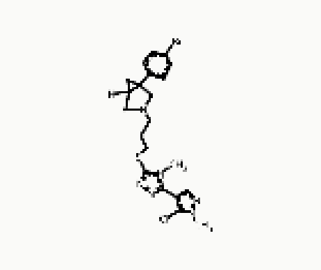 Cn1ncc(-c2nnc(SCCCN3C[C@@H]4CC4(c4ccc(Br)cc4)C3)n2C)c1Cl